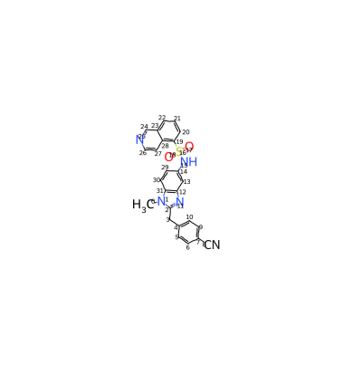 Cn1c(Cc2ccc(C#N)cc2)nc2cc(NS(=O)(=O)c3cccc4cnccc34)ccc21